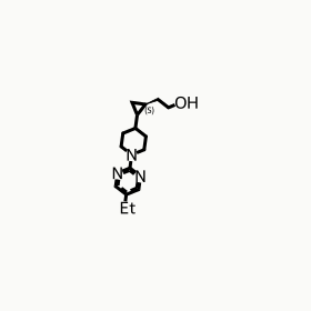 CCc1cnc(N2CCC(C3C[C@H]3CCO)CC2)nc1